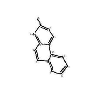 Cc1ccc2c(ccc3ccccc32)n1